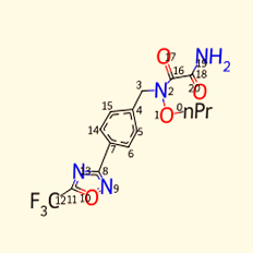 CCCON(Cc1ccc(-c2noc(C(F)(F)F)n2)cc1)C(=O)C(N)=O